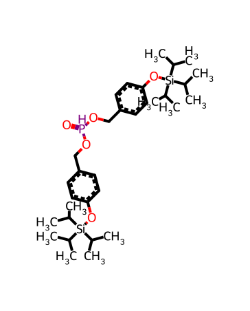 CC(C)[Si](Oc1ccc(CO[PH](=O)OCc2ccc(O[Si](C(C)C)(C(C)C)C(C)C)cc2)cc1)(C(C)C)C(C)C